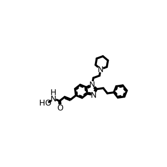 O=C(C=Cc1ccc2c(c1)nc(CCc1ccccc1)n2CCN1CCCCC1)NO